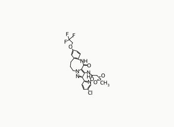 CS(=O)(=O)CC(=O)Nc1c(-c2ccc(Cl)cn2)nn2c1C(=O)Nc1ccc(OCC(F)(F)F)cc1CCC2